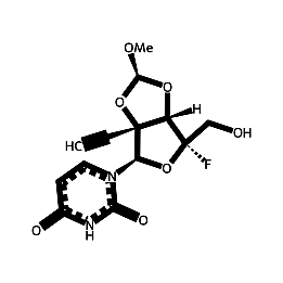 C#C[C@@]12O[C@@H](OC)O[C@@H]1[C@@](F)(CO)O[C@H]2n1ccc(=O)[nH]c1=O